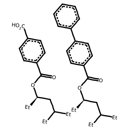 CCC(CC)C[C@@H](CC)OC(=O)c1ccc(-c2ccccc2)cc1.CCC(CC)C[C@@H](CC)OC(=O)c1ccc(C(=O)O)cc1